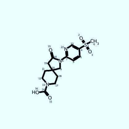 CS(=O)(=O)c1ccc(N2CC3(CCN(C(=O)O)CC3)CC2=O)nc1